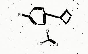 Brc1ccc(C2CCC2)cc1.O=C(O)Cl